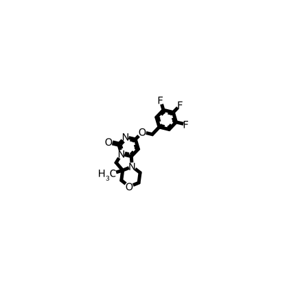 CC12COCCN1c1cc(OCc3cc(F)c(F)c(F)c3)nc(=O)n1C2